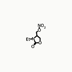 CCN1C(=O)OCC1CO[N+](=O)[O-]